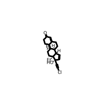 CC[C@]12CC[C@H]3[C@@H](CCC4=CC(=O)CC[C@@H]43)[C@@H]1C=C[C@@]2(O)C#CCl